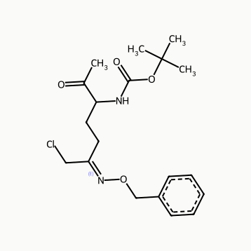 CC(=O)C(CC/C(CCl)=N\OCc1ccccc1)NC(=O)OC(C)(C)C